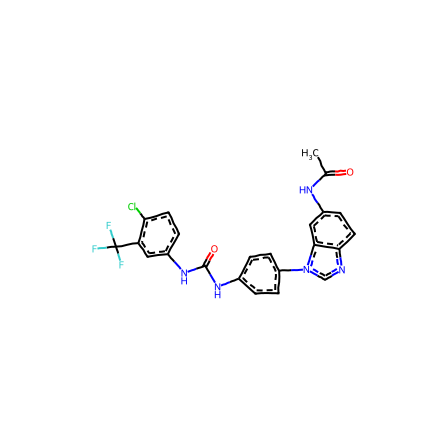 CC(=O)Nc1ccc2ncn(-c3ccc(NC(=O)Nc4ccc(Cl)c(C(F)(F)F)c4)cc3)c2c1